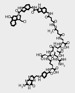 C/C(CCC(=O)NC[C@H](NC(=O)[C@H](CC(=O)O)NC(=O)[C@H](CCCNC(=N)N)NC(=O)[C@H](CC(=O)O)NC(=O)CC[C@H](NC(=O)c1ccc(NCc2cnc3nc(N)[nH]c(=O)c3n2)cc1)C(=O)O)C(=O)O)=N\NC(=O)CCC(=O)Nc1ccc2[nH]c(C(=O)Nc3ccc4[nH]c(C(=O)N5CC(CCl)c6c5cc(O)c5ccccc65)cc4c3)cc2c1